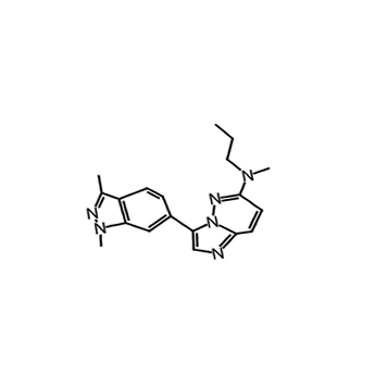 CCCN(C)c1ccc2ncc(-c3ccc4c(C)nn(C)c4c3)n2n1